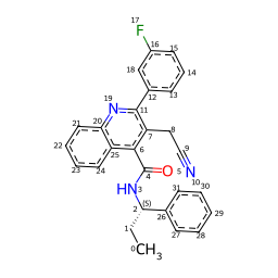 CC[C@H](NC(=O)c1c(CC#N)c(-c2cccc(F)c2)nc2ccccc12)c1ccccc1